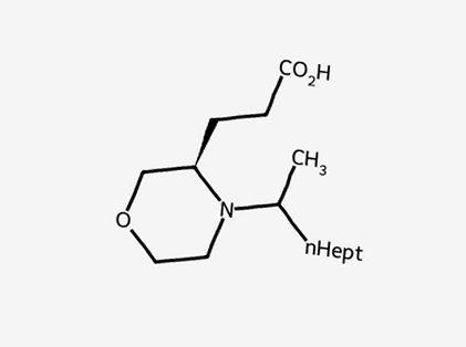 CCCCCCCC(C)N1CCOC[C@H]1CCC(=O)O